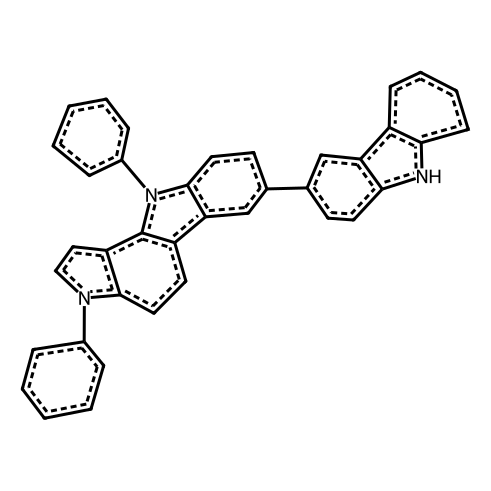 c1ccc(-n2ccc3c2ccc2c4cc(-c5ccc6[nH]c7ccccc7c6c5)ccc4n(-c4ccccc4)c23)cc1